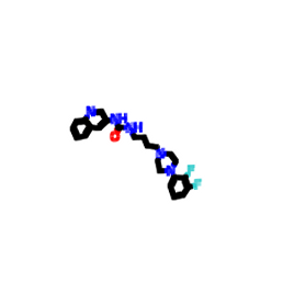 O=C(NCCCCN1CCN(c2cccc(F)c2F)CC1)Nc1cnc2ccccc2c1